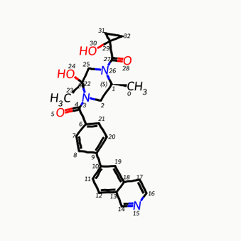 C[C@H]1CN(C(=O)c2ccc(-c3ccc4cnccc4c3)cc2)[C@](C)(O)CN1C(=O)C1(O)CC1